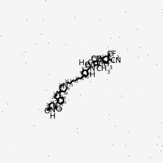 CC1(C)[C@H](NC(=O)c2ccc(CCCCCCN3CCC(n4ccc5c(N6CCC(=O)NC6=O)cccc54)CC3)cc2)C(C)(C)[C@H]1Oc1ccc(C#N)c(C(F)(F)F)c1